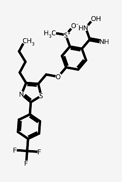 CCCCc1nc(-c2ccc(C(F)(F)F)cc2)sc1COc1ccc(C(=N)NO)c([S+](C)[O-])c1